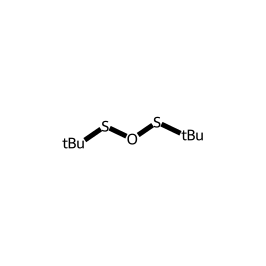 CC(C)(C)SOSC(C)(C)C